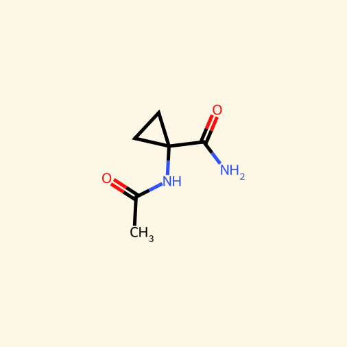 CC(=O)NC1(C(N)=O)CC1